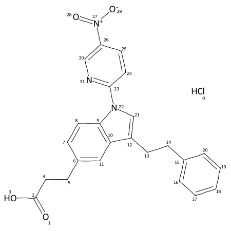 Cl.O=C(O)CCc1ccc2c(c1)c(CCc1ccccc1)cn2-c1ccc([N+](=O)[O-])cn1